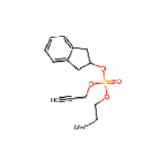 C#CCOP(=O)(OCCOC)OC1Cc2ccccc2C1